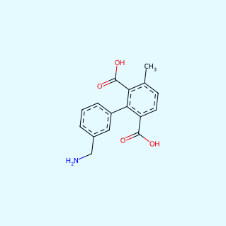 Cc1ccc(C(=O)O)c(-c2cccc(CN)c2)c1C(=O)O